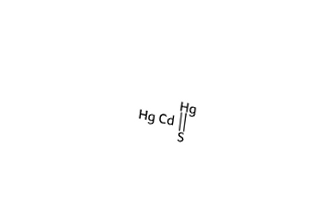 [Cd].[Hg].[S]=[Hg]